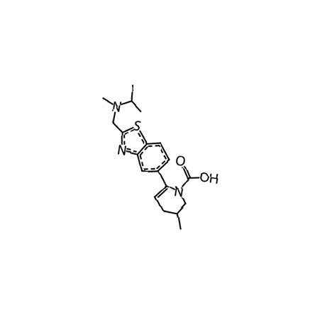 CC1CC=C(c2ccc3sc(CN(C)C(C)C)nc3c2)N(C(=O)O)C1